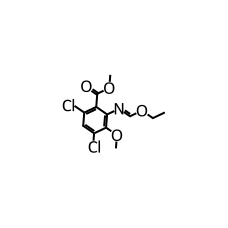 CCOC=Nc1c(OC)c(Cl)cc(Cl)c1C(=O)OC